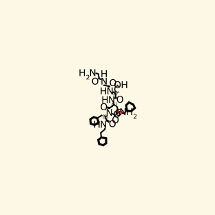 NCC(=O)NCC(=O)N[C@@H](CO)C(=O)N[C@@H](CC(N)=O)C(=O)N(C(=O)OCc1ccccc1)[C@@H](Cc1ccccc1)C(=O)NCCc1ccccc1